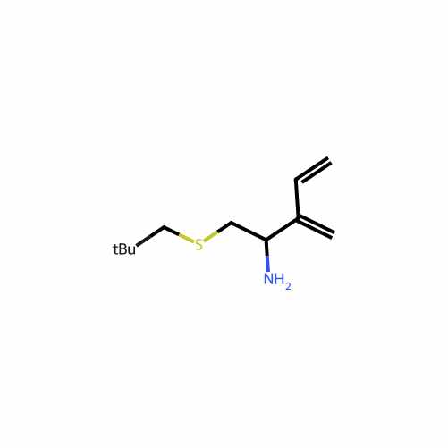 C=CC(=C)C(N)CSCC(C)(C)C